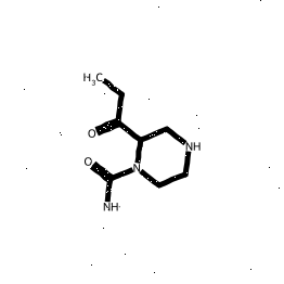 CCC(=O)C1CNCCN1C([NH])=O